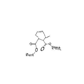 CCCC(C)OC(=O)C1CC=CC(C)C1C(=O)OC(C)CCC